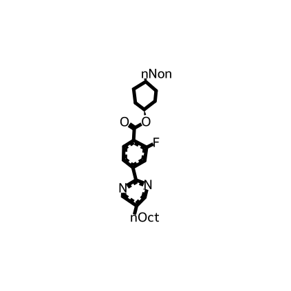 CCCCCCCCC[C@H]1CC[C@H](OC(=O)c2ccc(-c3ncc(CCCCCCCC)cn3)cc2F)CC1